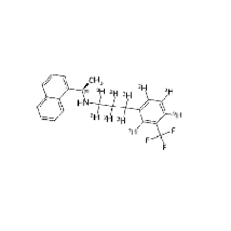 [2H]c1c([2H])c(C(F)(F)F)c([2H])c(C([2H])([2H])C([2H])([2H])C([2H])([2H])N[C@H](C)c2cccc3ccccc23)c1[2H]